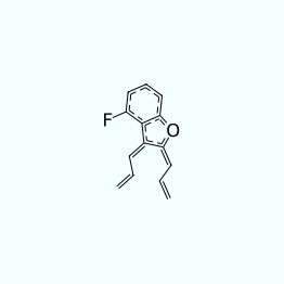 C=C/C=c1\c(=C/C=C)oc2cccc(F)c12